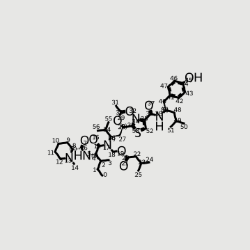 CCC(C)[C@H](NC(=O)[C@H]1CCCCN1C)C(=O)N(COC(=O)CC(C)C)[C@H](C[C@@H](OC(C)=O)c1nc(C(=O)N[C@@H](Cc2ccc(O)cc2)CC(C)C)cs1)C(C)C